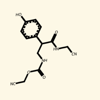 N#CCNC(=O)C(CNC(=O)OCC#N)c1ccc(O)cc1